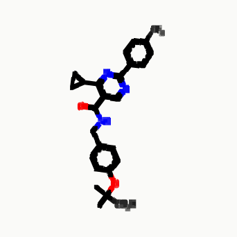 CC(C)(Oc1ccc(CNC(=O)c2cnc(-c3ccc(C(F)(F)F)cc3)nc2C2CC2)cc1)C(=O)O